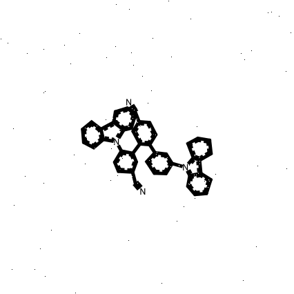 N#Cc1ccc(-c2cccc(-n3c4ccccc4c4ccccc43)c2)c(-c2cc(C#N)ccc2-n2c3ccccc3c3ccccc32)c1